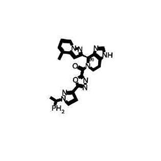 Cc1cccn2nc([C@H]3c4nc[nH]c4CCN3C(=O)c3nnc(-c4ccn(C(C)P)n4)o3)cc12